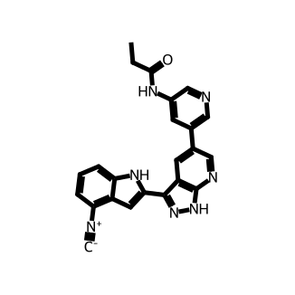 [C-]#[N+]c1cccc2[nH]c(-c3n[nH]c4ncc(-c5cncc(NC(=O)CC)c5)cc34)cc12